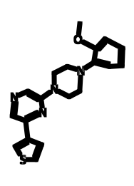 COc1ccccc1N1CCN(c2cncc(-c3ccsc3)n2)CC1